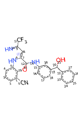 N#Cc1cccc(N/C(=C\C(=N)C(F)(F)F)C(=O)Nc2cccc(C(O)c3ccccc3)c2)c1